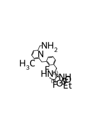 CCS(=O)(=O)N[C@@H]1[C@H](Cc2cccc(Cc3nc(CN)ccc3C)c2F)NC[C@@H]1F